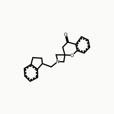 O=C1CC2(CN(CC3CCc4ccccc43)C2)Oc2ccccc21